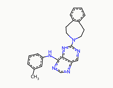 Cc1cccc(Nc2ncnc3cnc(N4CCc5ccccc5CC4)nc23)c1